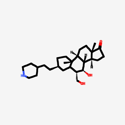 C[C@]12CC[C@H](CCC3CCNCC3)CC1[C@@H](CO)[C@@H](O)[C@@H]1[C@@H]2CC[C@]2(C)C(=O)CC[C@@H]12